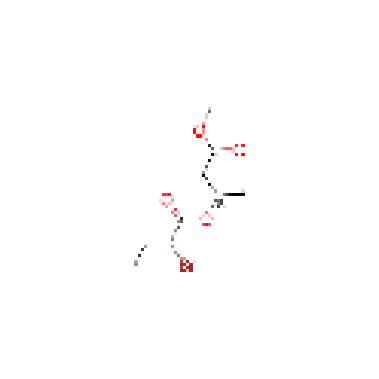 CCC(Br)C(=O)O[C@H](C)CC(=O)OC